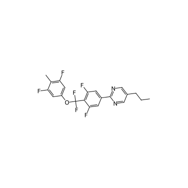 CCCc1cnc(-c2cc(F)c(C(F)(F)Oc3cc(F)c(C)c(F)c3)c(F)c2)nc1